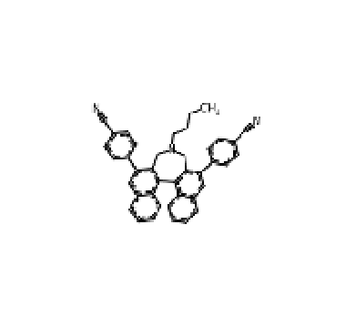 CCCCN1Cc2c(-c3ccc(C#N)cc3)cc3ccccc3c2-c2c(c(-c3ccc(C#N)cc3)cc3ccccc23)C1